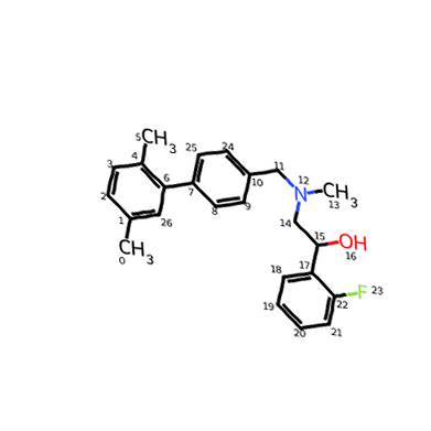 Cc1ccc(C)c(-c2ccc(CN(C)CC(O)c3ccccc3F)cc2)c1